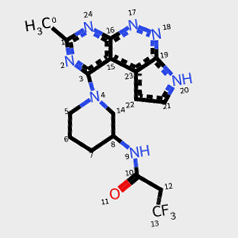 Cc1nc(N2CCCC(NC(=O)CC(F)(F)F)C2)c2c(nnc3[nH]ccc32)n1